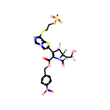 C[C@@H](O)[C@H]1C(=O)N2C(C(=O)OCc3ccc([N+](=O)[O-])cc3)=C(c3cn4cnc(SCCOS(C)(=O)=O)c4s3)[C@H](C)[C@H]12